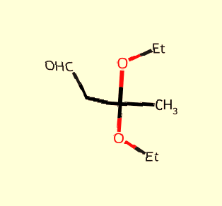 CCOC(C)(CC=O)OCC